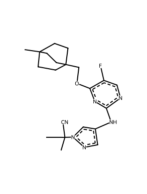 CC12CCC(COc3nc(Nc4cnn(C(C)(C)C#N)c4)ncc3F)(CC1)CC2